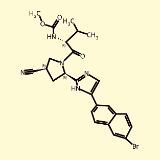 COC(=O)N[C@@H](C(=O)N1C[C@H](C#N)C[C@@H]1c1ncc(-c2ccc3cc(Br)ccc3c2)[nH]1)C(C)C